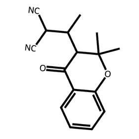 CC(C(C#N)C#N)C1C(=O)c2ccccc2OC1(C)C